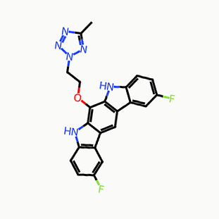 Cc1nnn(CCOc2c3[nH]c4ccc(F)cc4c3cc3c2[nH]c2ccc(F)cc23)n1